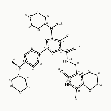 CCN(c1cc(-c2ccc([C@H](C)N3CCCCC3)cc2)cc(C(=O)NCc2c3c(c(C)[nH]c2=O)CCCC3)c1C)C1CCOCC1